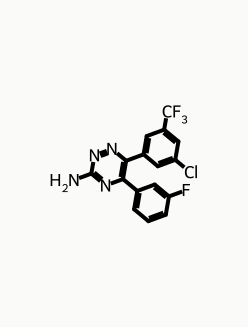 Nc1nnc(-c2cc(Cl)cc(C(F)(F)F)c2)c(-c2cccc(F)c2)n1